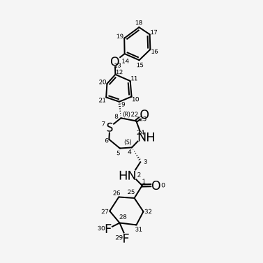 O=C(NC[C@@H]1CCS[C@H](c2ccc(Oc3ccccc3)cc2)C(=O)N1)C1CCC(F)(F)CC1